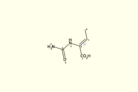 C/C=C(\NC(N)=O)C(=O)O